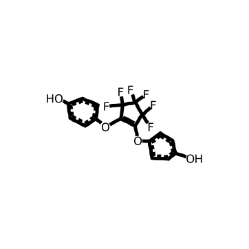 Oc1ccc(OC2=C(Oc3ccc(O)cc3)C(F)(F)C(F)(F)C2(F)F)cc1